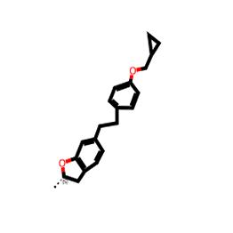 C[C@H]1Cc2ccc(CCc3ccc(OCC4CC4)cc3)cc2O1